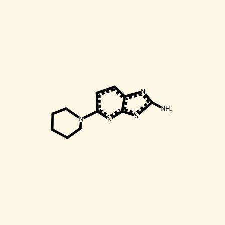 Nc1nc2ccc(N3CCCCC3)nc2s1